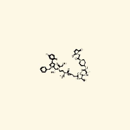 CC(C)C(NC(=O)CCNC(=O)[C@@H](N)CCN(C(=O)CO)[C@@H](c1cc(-c2cc(F)ccc2F)cn1Cc1ccccc1)C(C)(C)C)C(=O)N[C@@H](C)C(=O)OC1CCN(C(=O)CN2C(=O)C=CC2=O)CC1